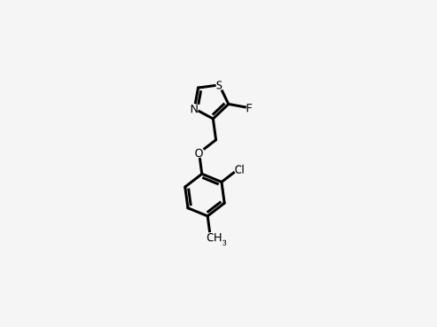 Cc1ccc(OCc2ncsc2F)c(Cl)c1